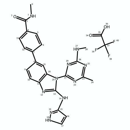 CNC(=O)c1ccc(-c2ccc3nc(Nc4cc[nH]n4)n(-c4nc(C)nc(NC)n4)c3c2)cc1.O=C(O)C(F)(F)F